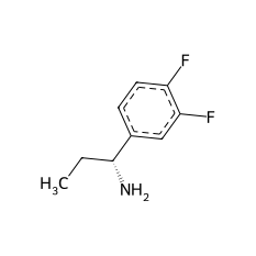 CC[C@@H](N)c1ccc(F)c(F)c1